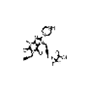 C#CCn1c(=O)c2c(nc(N3CCNCC3)n2CC#CC)n(C)c1=O.O=C(O)C(F)(F)F